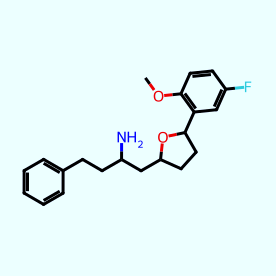 COc1ccc(F)cc1C1CCC(CC(N)CCc2ccccc2)O1